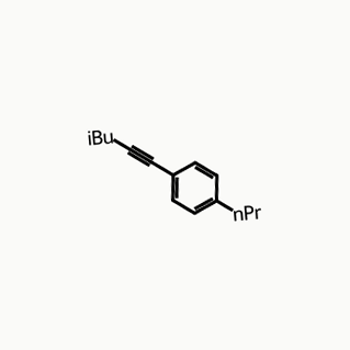 [CH2]CC(C)C#Cc1ccc(CCC)cc1